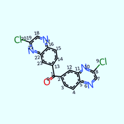 O=C(c1ccc2ncc(Cl)nc2c1)c1ccc2ncc(Cl)nc2c1